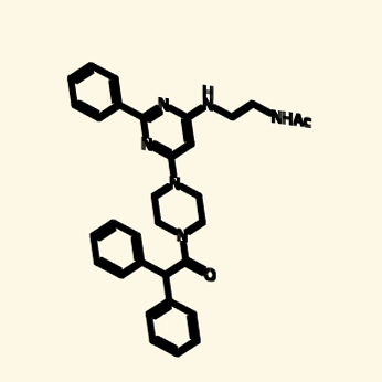 CC(=O)NCCNc1cc(N2CCN(C(=O)C(c3ccccc3)c3ccccc3)CC2)nc(-c2ccccc2)n1